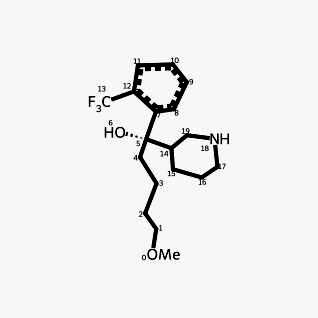 COCCCC[C@@](O)(c1ccccc1C(F)(F)F)C1CCCNC1